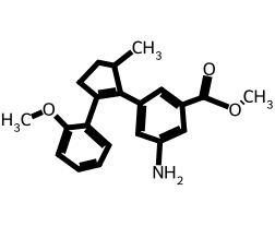 COC(=O)c1cc(N)cc(C2=C(c3ccccc3OC)CCC2C)c1